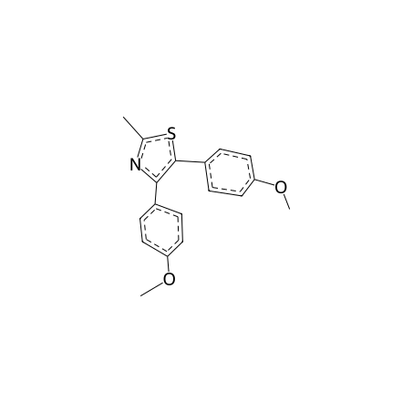 COc1ccc(-c2nc(C)sc2-c2ccc(OC)cc2)cc1